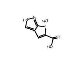 Cl.O=C(O)c1cc2c[nH]nc2s1